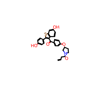 C=CCC(=O)N1CC[C@@H](Oc2ccc(C(=O)c3c(-c4ccc(O)cc4)sc4cc(O)ccc34)cc2)C1